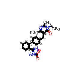 CCCCc1nc(C)n(CC(C)(C)C)c(=O)c1Cc1ccc(-c2ccccc2-c2noc(=O)[nH]2)cc1